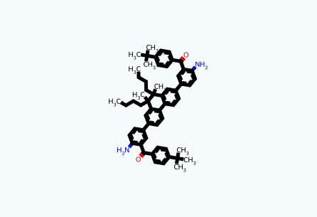 CCCCC1(C)c2cc(-c3ccc(N)c(C(=O)c4ccc(C(C)(C)C)cc4)c3)ccc2-c2ccc(-c3ccc(N)c(C(=O)c4ccc(C(C)(C)C)cc4)c3)cc2C1(C)CCCC